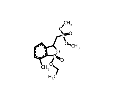 CCOP1(=O)OC(CP(=O)(OC)OC)c2cccc(C)c21